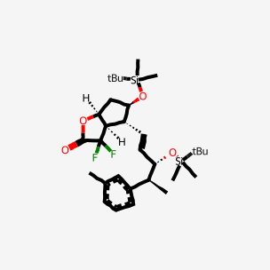 Cc1cccc([C@H](C)[C@H](/C=C/[C@@H]2[C@@H]3[C@H](C[C@H]2O[Si](C)(C)C(C)(C)C)OC(=O)C3(F)F)O[Si](C)(C)C(C)(C)C)c1